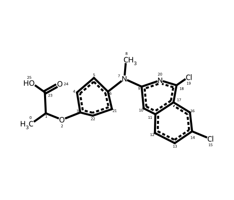 CC(Oc1ccc(N(C)c2cc3ccc(Cl)cc3c(Cl)n2)cc1)C(=O)O